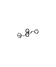 CC1(C)C2CC=C(CCOC(=O)C=Cc3ccccc3)C1C2